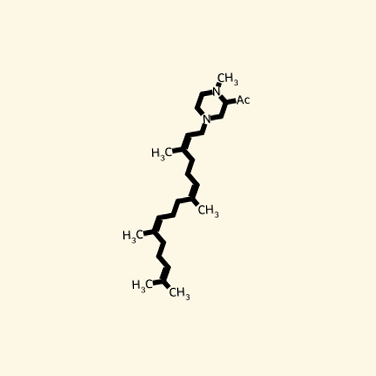 CC(=O)C1CN(CC=C(C)CCC=C(C)CCC=C(C)CCC=C(C)C)CCN1C